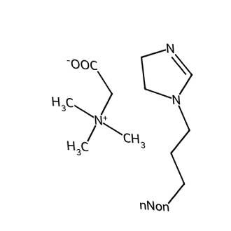 CCCCCCCCCCCCN1C=NCC1.C[N+](C)(C)CC(=O)[O-]